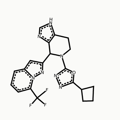 FC(F)(F)c1cccc2cc(C3c4nc[nH]c4CCN3c3nnc(C4CCC4)o3)nn12